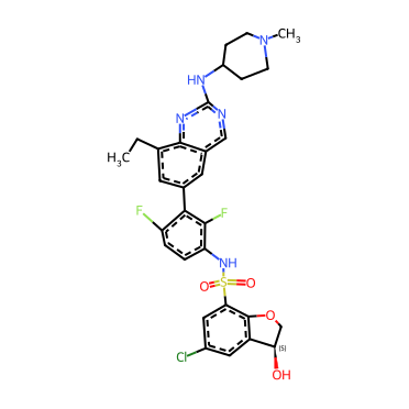 CCc1cc(-c2c(F)ccc(NS(=O)(=O)c3cc(Cl)cc4c3OC[C@H]4O)c2F)cc2cnc(NC3CCN(C)CC3)nc12